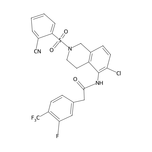 N#Cc1ccccc1S(=O)(=O)N1CCc2c(ccc(Cl)c2NC(=O)Cc2ccc(C(F)(F)F)c(F)c2)C1